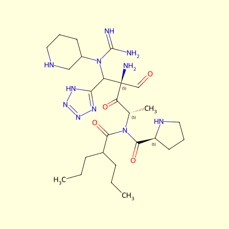 CCCC(CCC)C(=O)N(C(=O)[C@@H]1CCCN1)[C@@H](C)C(=O)[C@@](N)(C=O)C(c1nnn[nH]1)N(C(=N)N)C1CCCNC1